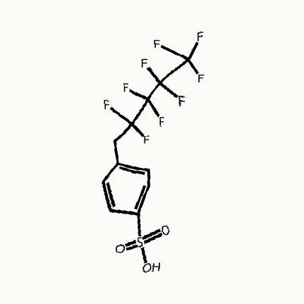 O=S(=O)(O)c1ccc(CC(F)(F)C(F)(F)C(F)(F)C(F)(F)F)cc1